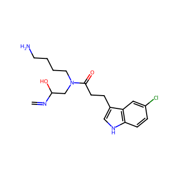 C=NC(O)CN(CCCCN)C(=O)CCc1c[nH]c2ccc(Cl)cc12